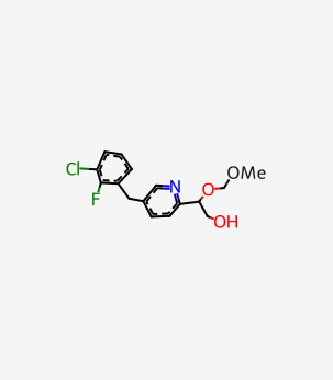 COCOC(CO)c1ccc(Cc2cccc(Cl)c2F)cn1